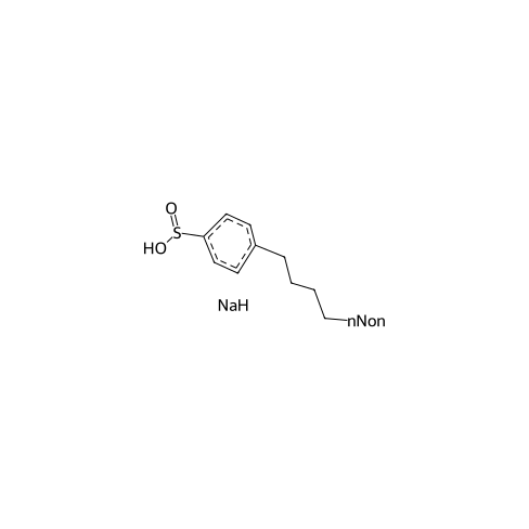 CCCCCCCCCCCCCc1ccc(S(=O)O)cc1.[NaH]